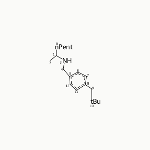 CCCCCC(C)NCc1ccc(CC(C)(C)C)cc1